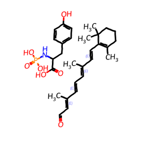 CC1=C(/C=C/C(C)=C/C=C/C(C)=C/C=O)C(C)(C)CCC1.O=C(O)C(Cc1ccc(O)cc1)NP(=O)(O)O